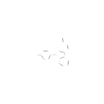 C=C/C=C\c1c(C)n(-c2ccc(C)cc2)c2ccc(C)cc12